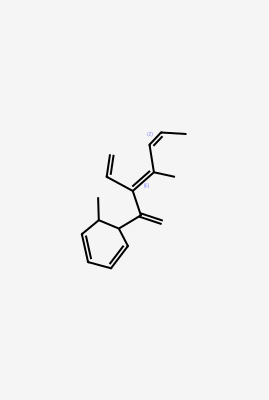 C=C/C(C(=C)C1C=CC=CC1C)=C(C)\C=C/C